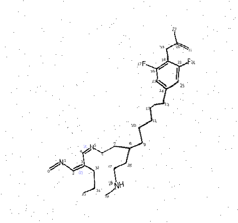 C=N/C=C(\C=N/CCC(CCCCCc1cc(F)c(CC(=C)C)c(F)c1)CCNC)CCC